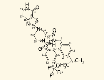 C=C(C)c1ccc(CNC(=O)[C@H]2CN(c3nc4c(s3)C(=O)NCC4)CCN2S(=O)(=O)c2ccc(OC(F)(F)F)cc2)cc1